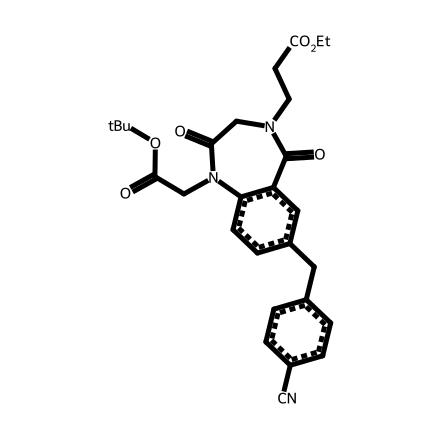 CCOC(=O)CCN1CC(=O)N(CC(=O)OC(C)(C)C)c2ccc(Cc3ccc(C#N)cc3)cc2C1=O